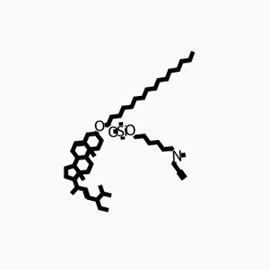 C#CCN(C)CCCCCCO[Si](C)(C)OC(CCCCCCCCCCCCCCC)OC1CCC2(C)C(=CCC3C2CCC2(C)C(C(C)/C=C/C(CC)C(C)C)CCC32)C1